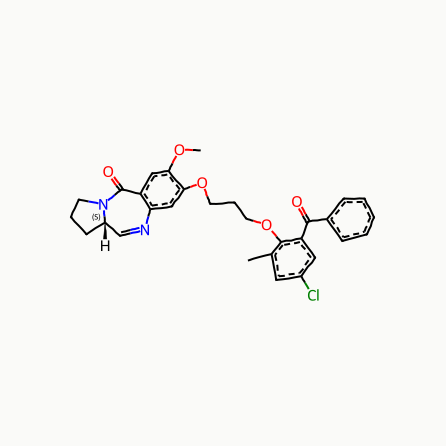 COc1cc2c(cc1OCCCOc1c(C)cc(Cl)cc1C(=O)c1ccccc1)N=C[C@@H]1CCCN1C2=O